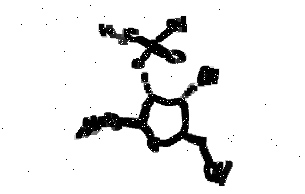 COC1O[C@H](CO)[C@@H](O)[C@H]1OP(C)(=O)O